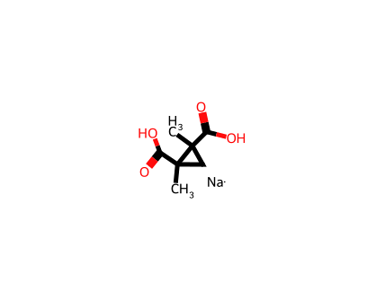 CC1(C(=O)O)CC1(C)C(=O)O.[Na]